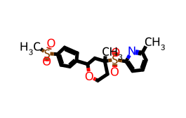 Cc1cccc(S(=O)(=O)C2(C)CCOC(c3ccc(S(C)(=O)=O)cc3)C2)n1